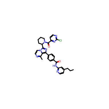 CCCc1ccnc(NC(=O)c2ccc(-c3nc(C4CCCCN4C(=O)c4ccnc(Cl)n4)n4ccnc(C)c34)cc2)c1